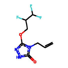 C=CCn1c(OCC(F)C(F)F)n[nH]c1=O